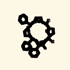 Cc1c(-c2ccccc2)c2[nH]c1c(Cl)c1nc(c(Cl)c3ccc([nH]3)c(-c3ccccc3)c3nc(c2-c2ccccc2)C=C3)C=C1